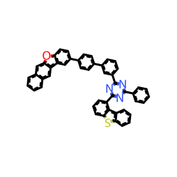 c1ccc(-c2nc(-c3cccc(-c4ccc(-c5ccc6oc7cc8ccccc8cc7c6c5)cc4)c3)nc(-c3cccc4sc5ccccc5c34)n2)cc1